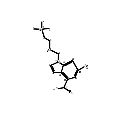 C[Si](C)(C)CCOCn1ccc2c(C(F)F)cc(Br)cc21